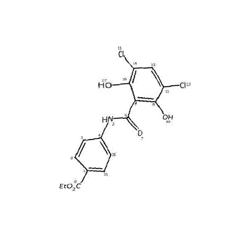 CCOC(=O)c1ccc(NC(=O)c2c(O)c(Cl)cc(Cl)c2O)cc1